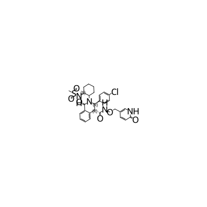 CS(=O)(=O)N[C@H]1CCCCC1N1C(=O)c2ccccc2[C@@H](C(=O)NOCc2ccc(=O)[nH]c2)[C@@H]1c1ccc(Cl)cc1